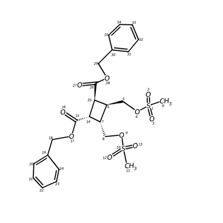 CS(=O)(=O)OC[C@H]1[C@H](COS(C)(=O)=O)[C@H](C(=O)OCc2ccccc2)[C@H]1C(=O)OCc1ccccc1